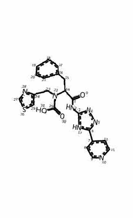 O=C(Nc1nnc(-c2ccncc2)[nH]1)C(Cc1ccccc1)N(Cc1cscn1)C(=O)O